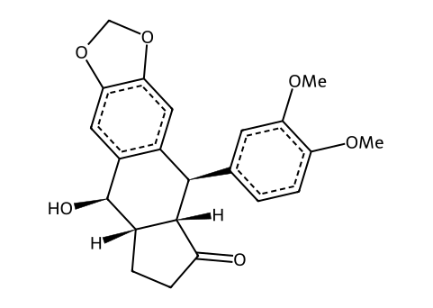 COc1ccc([C@@H]2c3cc4c(cc3[C@H](O)[C@H]3CCC(=O)[C@@H]23)OCO4)cc1OC